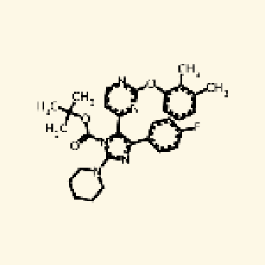 Cc1cccc(Oc2nccc(-c3c(-c4ccc(F)cc4)nc(N4CCCCC4)n3C(=O)OC(C)(C)C)n2)c1C